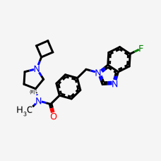 CN(C(=O)c1ccc(Cn2cnc3cc(F)ccc32)cc1)[C@@H]1CCN(C2CCC2)C1